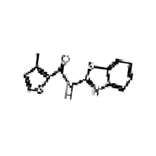 Cc1ccsc1C(=O)Nc1nc2ccccc2s1